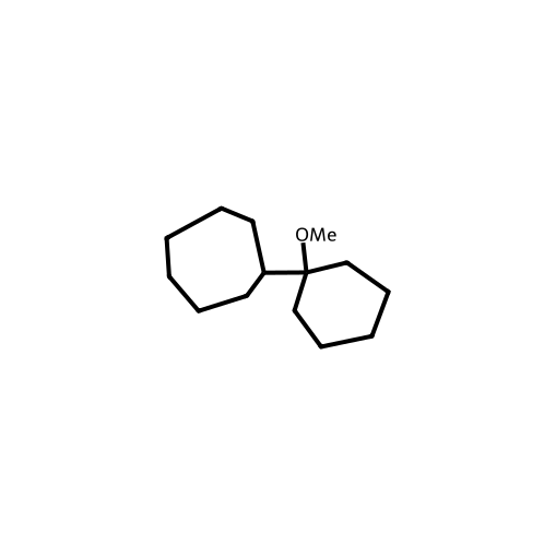 COC1(C2CCCCCC2)CCCCC1